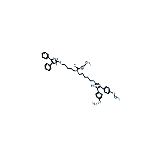 CCCNC(=O)N(CCCCCSc1nc(-c2ccccc2)c(-c2ccccc2)[nH]1)CCCCCSc1nc(-c2ccc(OC)cc2)c(-c2ccc(OC)cc2)[nH]1